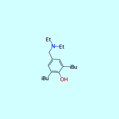 CCC(C)c1cc(CN(CC)CC)cc(C(C)CC)c1O